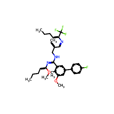 C\C=C(/C=N\C(=C\CCC)C(F)(F)F)CN/C(=N/C(=C/CCC)OC)c1cc(-c2ccc(F)cc2)cc(OC)c1C